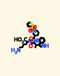 CC(c1c[nH]c2ccccc12)[C@@H](NC(=O)C1CCCN(S(=O)(=O)c2cccs2)C1)C(=O)N[C@@H](CCCCN)C(=O)O